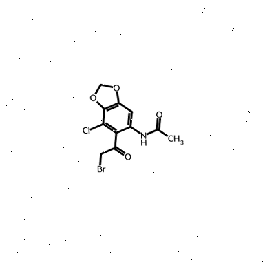 CC(=O)Nc1cc2c(c(Cl)c1C(=O)CBr)OCO2